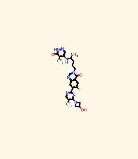 CC(CCCn1cnc2cc(-c3ncc(C(F)(F)F)c(N4CC(O)C4)n3)c(F)cc2c1=O)Nc1cn[nH]c(=O)c1C(F)(F)F